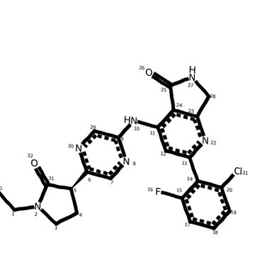 CCN1CC[C@H](c2cnc(Nc3cc(-c4c(F)cccc4Cl)nc4c3C(=O)NC4)cn2)C1=O